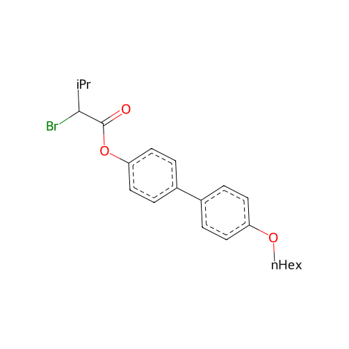 CCCCCCOc1ccc(-c2ccc(OC(=O)C(Br)C(C)C)cc2)cc1